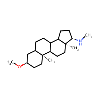 CN[C@H]1CCC2C3CCC4C[C@H](OC)CC[C@]4(C)C3CC[C@@]21C